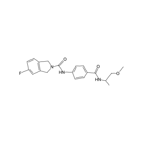 COCC(C)NC(=O)c1ccc(NC(=O)N2Cc3ccc(F)cc3C2)cc1